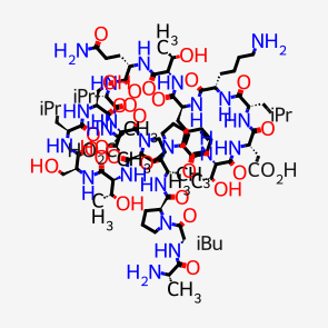 CC[C@H](C)[C@H](NC(=O)[C@H](C)N)C(=O)N1CCC[C@H]1C(=O)N[C@@H](C)C(=O)N1CCC[C@H]1C(=O)N[C@H](C(=O)N[C@@H](CC(=O)O)C(=O)N[C@@H](CC(C)C)C(=O)N[C@@H](CCCCN)C(=O)N[C@@H](Cc1ccccc1)C(=O)N[C@H](C(=O)N[C@@H](CCC(N)=O)C(=O)N[C@H](C(=O)N[C@H](C(=O)N1CCC[C@H]1C(=O)N[C@H](C(=O)N[C@@H](CO)C(=O)N[C@@H](CC(C)C)C(=O)N[C@@H](CO)C(=O)N[C@@H](C)C(=O)O)[C@@H](C)O)[C@@H](C)O)C(C)C)[C@@H](C)O)[C@@H](C)O